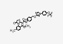 COCc1ccc(C)cc1N1C(=O)CSC1NC(=O)Nc1ccc(COc2ncn(-c3ccc(OC(F)(F)F)cc3)n2)cc1